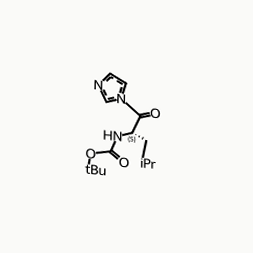 CC(C)C[C@H](NC(=O)OC(C)(C)C)C(=O)n1ccnc1